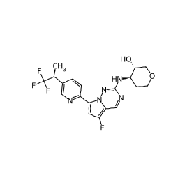 C[C@@H](c1ccc(-c2cc(F)c3cnc(N[C@@H]4CCOC[C@H]4O)nn23)nc1)C(F)(F)F